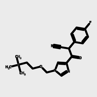 C[Si](C)(C)CCOCn1cnc(C(=O)C(C#N)c2ccc(F)cc2)c1